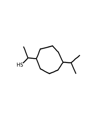 CC(C)C1CCCC(C(C)S)CCC1